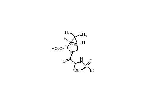 CCS(=O)(=O)NC(C(=O)N1C[C@H]2[C@@H]([C@H]1C(=O)O)C2(C)C)C(C)(C)C